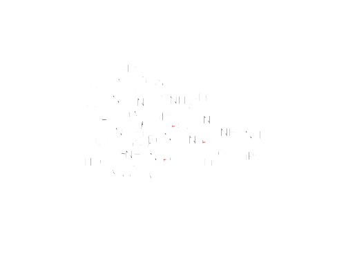 CCO[C@@H]1CC(C(N)=O)N(C(=O)[C@H](CC(C)C)N(C)C(=O)[C@H](Cc2ccccc2)N(C)C(=O)[C@@H](NC(=O)[C@H](Cc2ccccc2)N(C)C(=O)[C@H](CC(C)C)N(C)C(=O)C(CC(C)C)N(C)C(=O)[C@H](CC(C)C)N(C)C(=O)NC(=O)C(N)C(C)C)[C@@H](C)O)C1